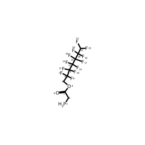 O=C(CP)OCC(F)(F)C(F)(F)C(F)(F)C(F)(F)C(F)(F)C(F)F